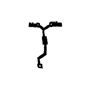 COC(C#CCCCl)OC